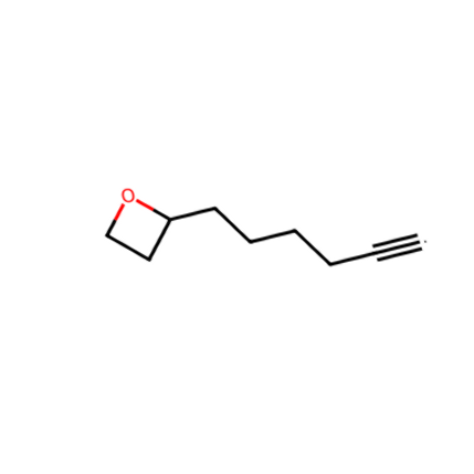 [C]#CCCCCC1CCO1